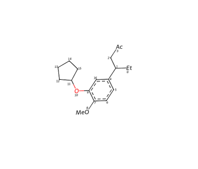 CCC(CC(C)=O)c1ccc(OC)c(OC2CCCC2)c1